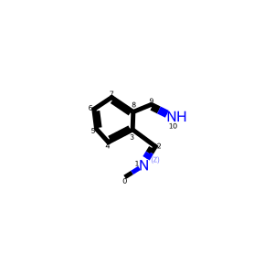 C/N=C\c1ccccc1C=N